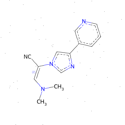 CN(C)/C=C(/C#N)n1cnc(-c2cccnc2)c1